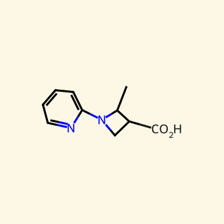 CC1C(C(=O)O)CN1c1ccccn1